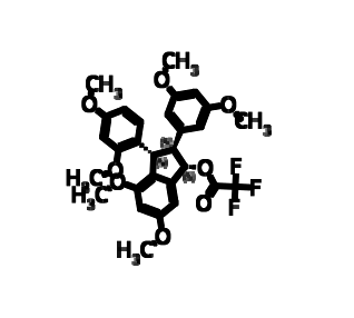 COc1cc(OC)cc([C@@H]2[C@@H](c3ccc(OC)cc3OC)c3c(OC)cc(OC)cc3[C@H]2OC(=O)C(F)(F)F)c1